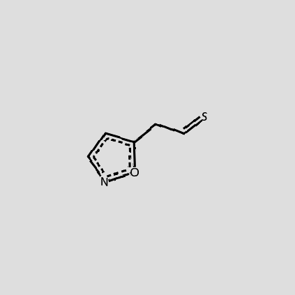 S=CCc1ccno1